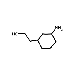 NC1CCCC(CCO)C1